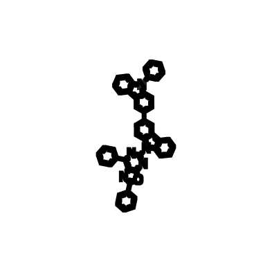 c1ccc(-c2nc3c(-c4ccccc4)nc(-n4c5ccccc5c5cc(-c6ccc7c(c6)c6ccccc6n7-c6ccccc6)ccc54)nc3o2)cc1